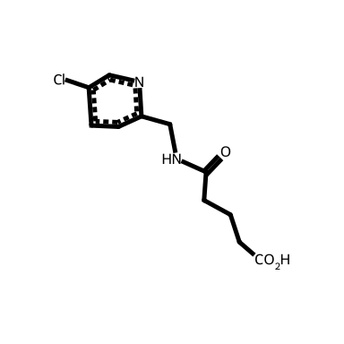 O=C(O)CCCC(=O)NCc1ccc(Cl)cn1